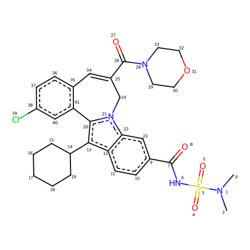 CN(C)S(=O)(=O)NC(=O)c1ccc2c(C3CCCCC3)c3n(c2c1)CC(C(=O)N1CCOCC1)=Cc1ccc(Cl)cc1-3